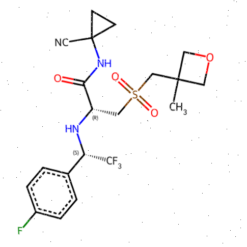 CC1(CS(=O)(=O)C[C@H](N[C@@H](c2ccc(F)cc2)C(F)(F)F)C(=O)NC2(C#N)CC2)COC1